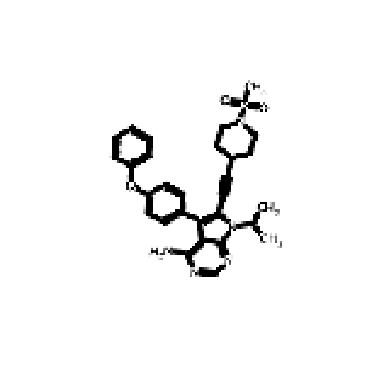 CC(C)n1c(C#CC2CCN(S(C)(=O)=O)CC2)c(-c2ccc(Oc3ccccc3)cc2)c2c(N)ncnc21